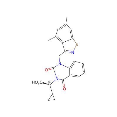 Cc1cc(C)c2c(Cn3c(=O)n([C@H](C(=O)O)C4CC4)c(=O)c4ccccc43)nsc2c1